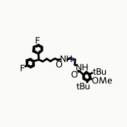 COc1c(C(C)(C)C)cc(C(=O)NC/C=C\CNC(=O)CCCCC(c2ccc(F)cc2)c2ccc(F)cc2)cc1C(C)(C)C